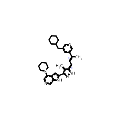 C=c1c(-c2cc3c(N4CCCCC4)cncc3[nH]2)n[nH]/c1=C/C=C(\C)c1cncc(CC2CCCCC2)c1